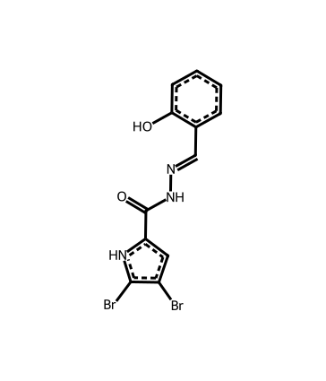 O=C(NN=Cc1ccccc1O)c1cc(Br)c(Br)[nH]1